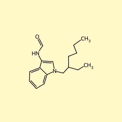 CCCCC(CC)Cn1cc(NC=O)c2ccccc21